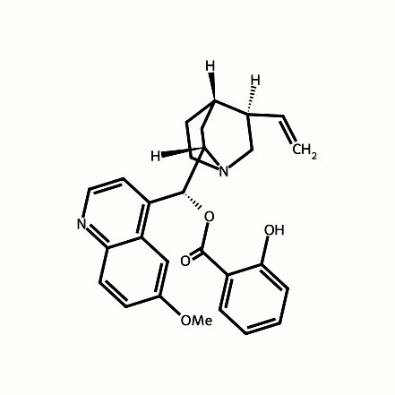 C=C[C@H]1CN2CC[C@H]1C[C@H]2[C@H](OC(=O)c1ccccc1O)c1ccnc2ccc(OC)cc12